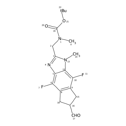 CN(Cc1nc2c(F)c3c(c(F)c2n1C)CC(C=O)C3)C(=O)OC(C)(C)C